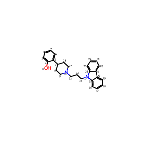 Oc1ccccc1C1CCN(CCCn2c3ccccc3c3ccccc32)CC1